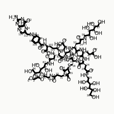 COCCOCCNC(=O)CCN1C(=O)CC(SC[C@@H](NC(=O)[C@H](CCC(=O)NC[C@H](O)[C@@H](O)[C@H](O)[C@H](O)CO)NC(=O)[C@@H](CCC(=O)O)NC(=O)[C@H](CCC(=O)NC[C@H](O)[C@@H](O)[C@H](O)[C@H](O)CO)NC(=O)[C@@H](CCC(=O)O)NC(=O)[C@H](CCC(=O)NC[C@H](O)[C@@H](O)[C@H](O)[C@H](O)CO)NC(=O)CC[C@H](NC(=O)c2ccc(NCc3cnc4nc(N)[nH]c(=O)c4n3)cc2)C(=O)O)C(=O)O)C1=O